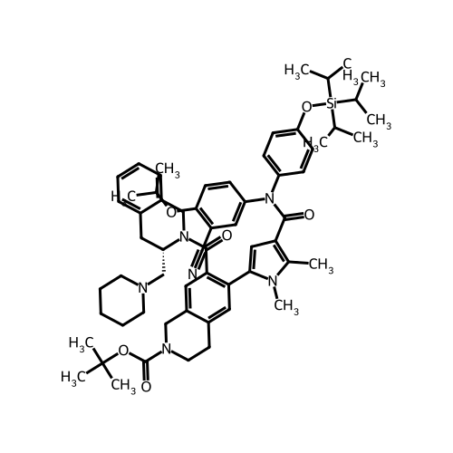 Cc1c(C(=O)N(c2ccc(O[Si](C(C)C)(C(C)C)C(C)C)cc2)c2ccc(OC(C)C)c(C#N)c2)cc(-c2cc3c(cc2C(=O)N2Cc4ccccc4C[C@H]2CN2CCCCC2)CN(C(=O)OC(C)(C)C)CC3)n1C